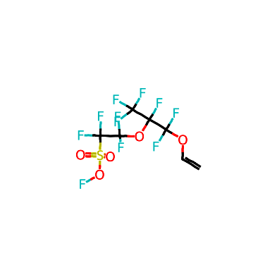 C=COC(F)(F)C(F)(OC(F)(F)C(F)(F)S(=O)(=O)OF)C(F)(F)F